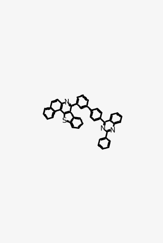 c1ccc(-c2nc(-c3ccc(-c4cccc(-c5nc6ccc7ccccc7c6c6sc7ccccc7c56)c4)cc3)c3ccccc3n2)cc1